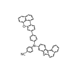 N#Cc1ccc(N(c2ccc(-c3ccc4c(c3)Oc3cccc5cccc-4c35)cc2)c2ccc3c(c2)sc2ccc4ccccc4c23)cc1